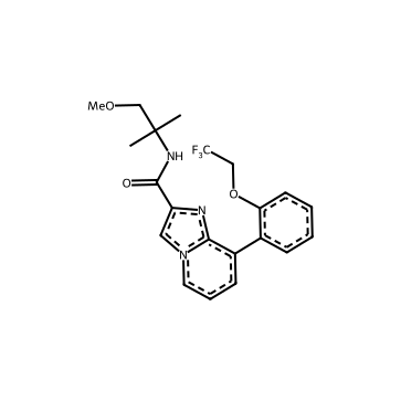 COCC(C)(C)NC(=O)c1cn2cccc(-c3ccccc3OCC(F)(F)F)c2n1